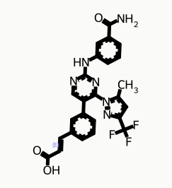 Cc1cc(C(F)(F)F)nn1-c1nc(Nc2cccc(C(N)=O)c2)ncc1-c1cccc(/C=C/C(=O)O)c1